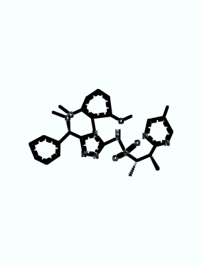 COc1cccc(OC)c1-n1c(NS(=O)(=O)[C@@H](C)[C@H](C)c2ncc(C)cn2)nnc1[C@H](OC)c1ccccc1